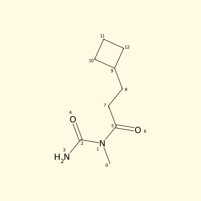 CN(C(N)=O)C(=O)[CH]CC1CCC1